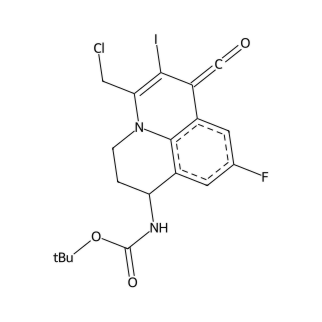 CC(C)(C)OC(=O)NC1CCN2C(CCl)=C(I)C(=C=O)c3cc(F)cc1c32